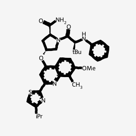 COc1ccc2c(O[C@@H]3C[C@@H](C(N)=O)N(C(=O)[C@@H](Nc4ccccc4)C(C)(C)C)C3)cc(-c3nc(C(C)C)cs3)nc2c1C